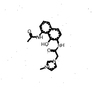 CC(=O)Nc1cccc2ccc(NC(=O)Cn3cc[n+](C)c3)c(O)c12